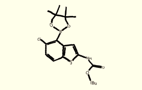 CC(C)(C)OC(=O)Nc1cc2c(B3OC(C)(C)C(C)(C)O3)c(Cl)ccc2s1